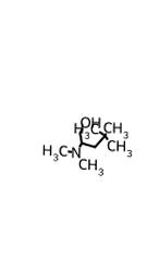 CN(C)C(CO)CC(C)(C)C